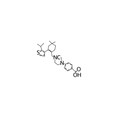 CC(C)c1sccc1C1=C(CN2CCN(c3ccc(C(=O)O)cc3)CC2)CCC(C)(C)C1